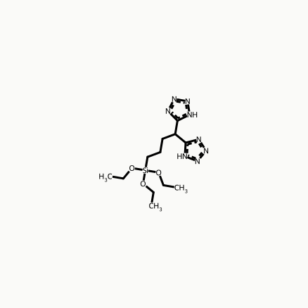 CCO[Si](CCCC(c1nnn[nH]1)c1nnn[nH]1)(OCC)OCC